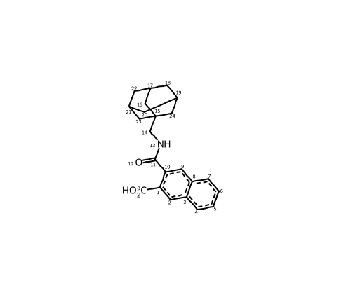 O=C(O)c1cc2ccccc2cc1C(=O)NCC12CC3CC(CC(C3)C1)C2